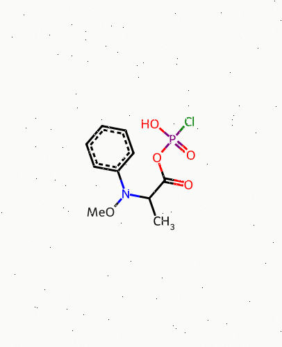 CON(c1ccccc1)C(C)C(=O)OP(=O)(O)Cl